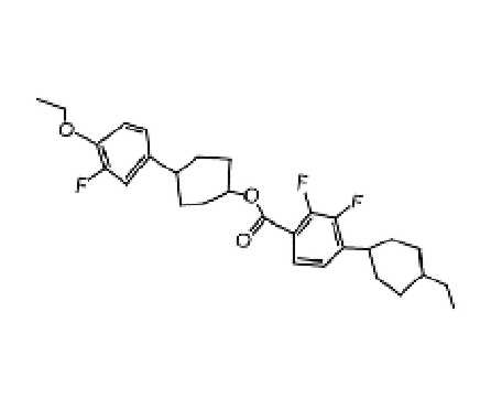 CCOc1ccc(C2CCC(OC(=O)c3ccc(C4CCC(CC)CC4)c(F)c3F)CC2)cc1F